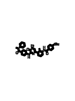 CCn1cc(-c2cccc(NC(=O)c3ccc(C(C)(C)C)cc3)c2C)nc(Nc2ccc(C(=O)N(C)c3ccccc3)cc2)c1=O